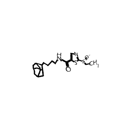 CC[S+]([O-])c1ncc(C(=O)NCCCCC2C3CC4CC(C3)CC2C4)s1